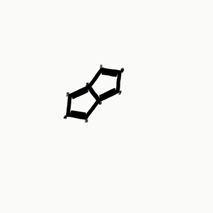 [C]1=CC2=CC=CC2=C1